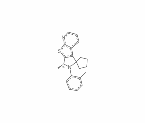 Cc1ccccc1N1[C@@H](C)c2sc3ncccc3c2C12CCCC2